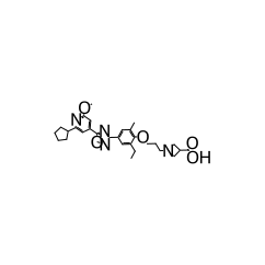 CCc1cc(-c2noc(-c3cc(OC)nc(C4CCCC4)c3)n2)cc(C)c1OCCCN1CC(C(=O)O)C1